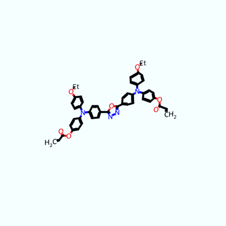 C=CC(=O)Oc1ccc(N(c2ccc(OCC)cc2)c2ccc(-c3nnc(-c4ccc(N(c5ccc(OCC)cc5)c5ccc(OC(=O)C=C)cc5)cc4)o3)cc2)cc1